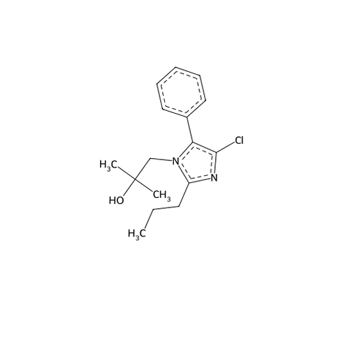 CCCc1nc(Cl)c(-c2ccccc2)n1CC(C)(C)O